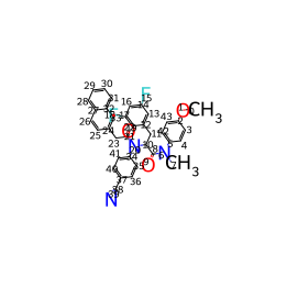 COc1ccc(N(C)C(=O)C(Cc2cc(F)cc(F)c2)N(C(=O)Cc2ccc3ccccc3c2)c2ccc(C#N)cc2)cc1